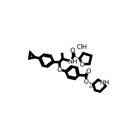 CC(NC(=O)[C@@H]1CCCO1)C(Oc1ccc(C(=O)O[C@H]2CCCNC2)cc1)c1ccc(C2CC2)cc1.Cl